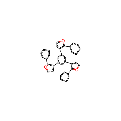 c1ccc(-c2occc2-c2cc(-c3ccoc3-c3ccccc3)cc(-c3ccoc3-c3ccccc3)c2)cc1